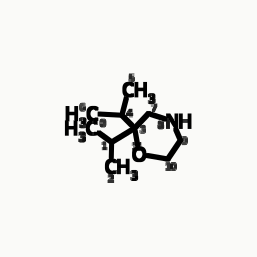 CC(C)C1(C(C)C)CNCCO1